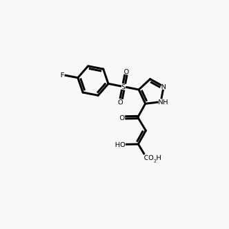 O=C(O)C(O)=CC(=O)c1[nH]ncc1S(=O)(=O)c1ccc(F)cc1